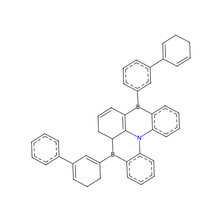 C1=CC(c2cccc(B3C4=C5C(CC=C4)B(C4=CC(c6ccccc6)=CCC4)c4ccccc4N5c4ccccc43)c2)=CCC1